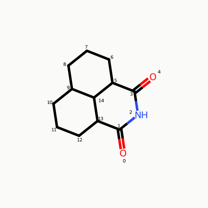 O=C1NC(=O)C2CCCC3CCCC1C32